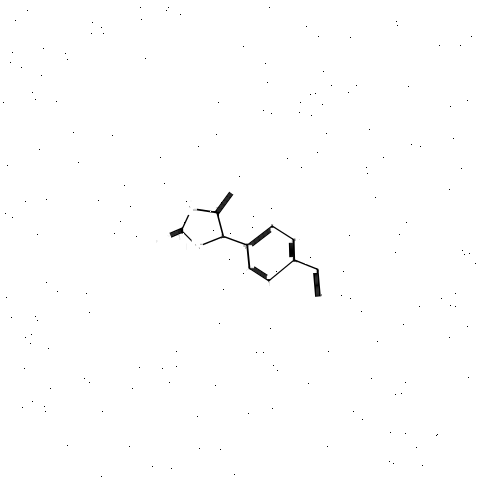 C=Cc1ccc(C2NC(=O)NC2=O)cc1